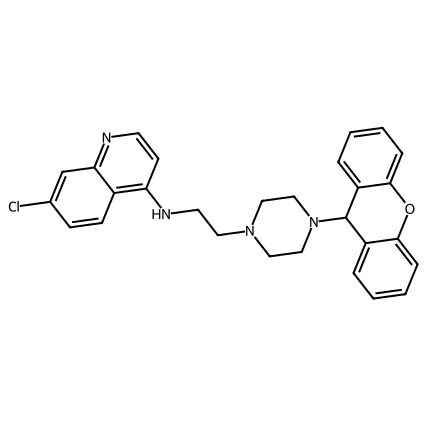 Clc1ccc2c(NCCN3CCN(C4c5ccccc5Oc5ccccc54)CC3)ccnc2c1